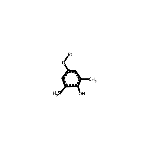 CCOc1cc(C)c(O)c([SiH3])c1